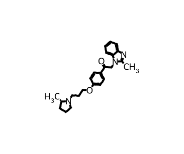 Cc1nc2ccccc2n1CC(=O)c1ccc(OCCCN2CCC[C@H]2C)cc1